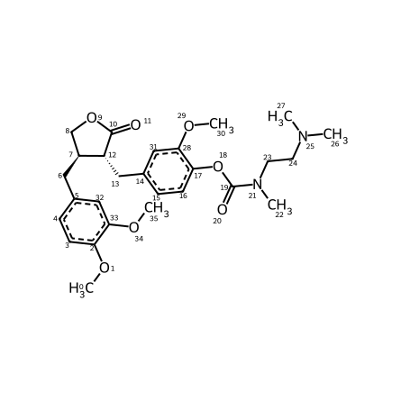 COc1ccc(C[C@H]2COC(=O)[C@@H]2Cc2ccc(OC(=O)N(C)CCN(C)C)c(OC)c2)cc1OC